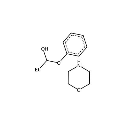 C1COCCN1.CCC(O)Oc1ccccc1